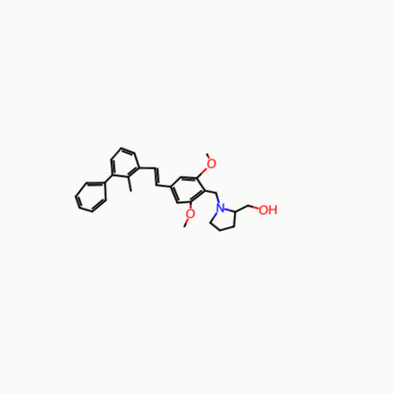 COc1cc(C=Cc2cccc(-c3ccccc3)c2C)cc(OC)c1CN1CCCC1CO